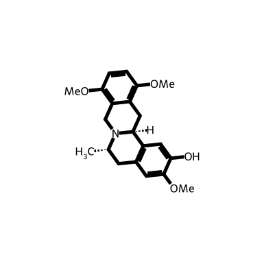 COc1cc2c(cc1O)[C@@H]1Cc3c(OC)ccc(OC)c3CN1[C@@H](C)C2